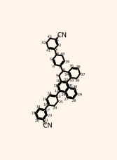 N#CC1=CC(C2C=CC(C3Cc4cc(C5=CC=C(c6cccc(C#N)c6)CC5)c5ccccc5c4C4=C3C=CCC4)=CC2)=CCC1